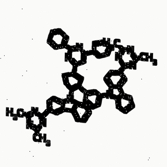 Cc1nc(C)nc(-c2ccc3c(c2)c2ccccc2n3-c2cccc(-c3cc(-c4cc(-c5ccccc5)nc(-c5ccccc5)n4)ccc3-n3c4ccccc4c4cc(-c5nc(C)nc(C)n5)ccc43)c2)n1